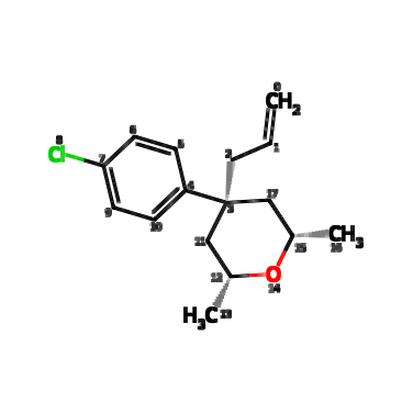 C=CC[C@@]1(c2ccc(Cl)cc2)C[C@@H](C)O[C@@H](C)C1